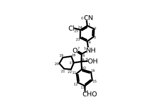 N#Cc1ccc(NC(=O)C(O)(c2ccc(C=O)cc2)C2CCCCC2)cc1Cl